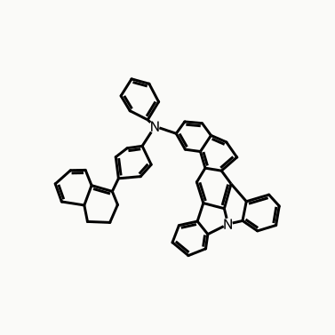 C1=CC2=C(c3ccc(N(c4ccccc4)c4ccc5ccc6c(cc7c8ccccc8n8c9ccccc9c6c78)c5c4)cc3)CCCC2C=C1